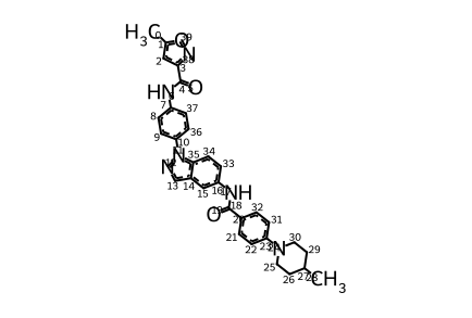 Cc1cc(C(=O)Nc2ccc(-n3ncc4cc(NC(=O)c5ccc(N6CCC(C)CC6)cc5)ccc43)cc2)no1